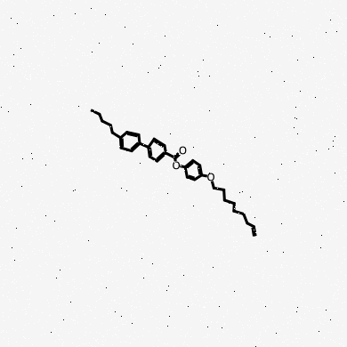 C=CCCCCCCCOc1ccc(OC(=O)c2ccc(-c3ccc(CCCCC)cc3)cc2)cc1